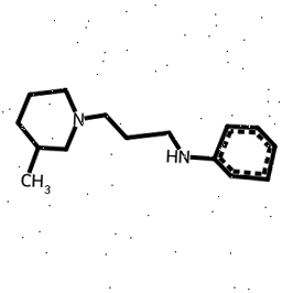 CC1CCCN(CCCNc2ccccc2)C1